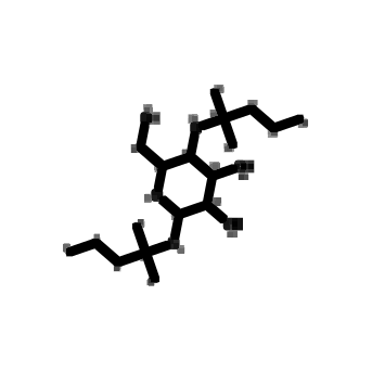 CCCC(C)(C)OC1OC(CO)C(OC(C)(C)CCC)C(O)C1O